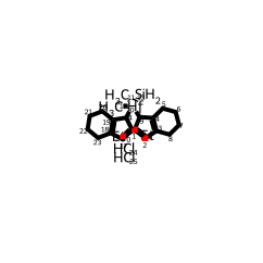 CCC1=CC2=C(CCCC2)[CH]1[Hf]([CH3])([CH3])(=[SiH2])[CH]1C(CC)=CC2=C1CCCC2.Cl.Cl